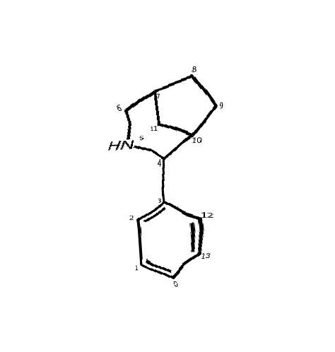 c1ccc(C2NCC3CCC2C3)cc1